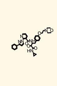 O=C(NC1CC1)C(=O)C(Cc1ccc(OCCN2CCOCC2)cc1)NC(=O)c1cccnc1-n1ccc(-c2ccccc2)n1